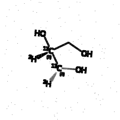 [2H][13C@@H](O)[13C@]([2H])(O)CO